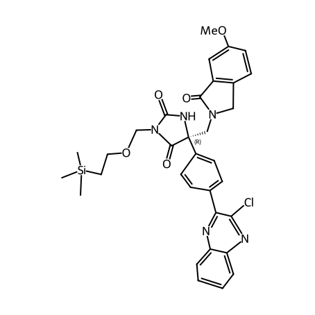 COc1ccc2c(c1)C(=O)N(C[C@@]1(c3ccc(-c4nc5ccccc5nc4Cl)cc3)NC(=O)N(COCC[Si](C)(C)C)C1=O)C2